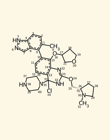 Cc1ccc2[nH]ncc2c1-c1ccc2c(c1OC1CCOC1)N=C(OC[C@@H]1CCCN1C)NC2(Cl)N1CCNCC1